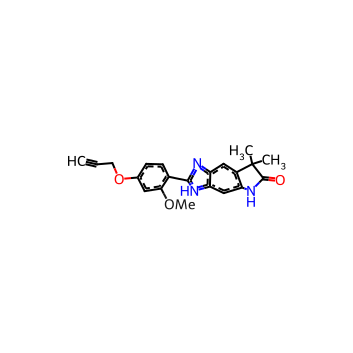 C#CCOc1ccc(-c2nc3cc4c(cc3[nH]2)NC(=O)C4(C)C)c(OC)c1